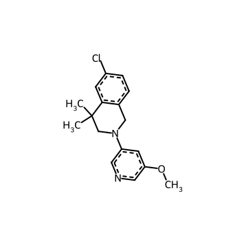 COc1cncc(N2Cc3ccc(Cl)cc3C(C)(C)C2)c1